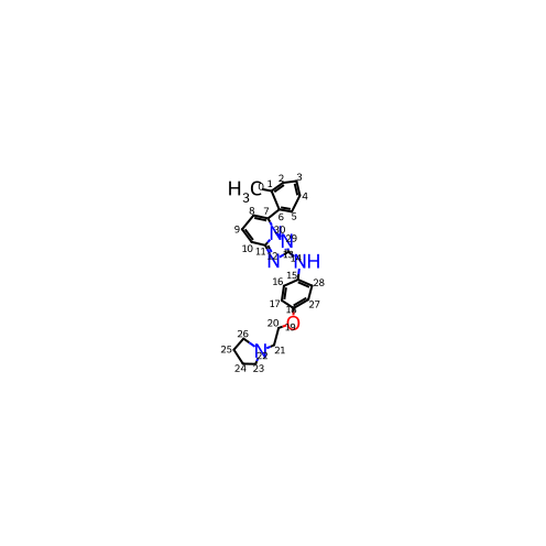 Cc1ccccc1-c1cccc2nc(Nc3ccc(OCCN4CCCC4)cc3)nn12